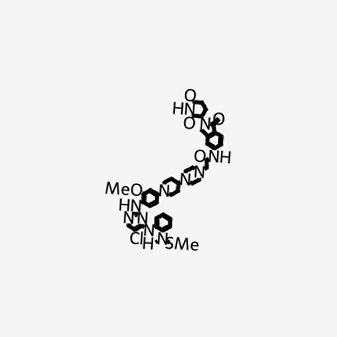 COc1cc(N2CCC(N3CCN(CC(=O)Nc4ccc5c(c4)CN(C4CCC(=O)NC4=O)C5=O)CC3)CC2)ccc1Nc1ncc(Cl)c(Nc2ccccc2N(C)SC)n1